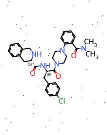 CN(C)C(=O)c1ccccc1N1CCN(C(=O)[C@@H](Cc2ccc(Cl)cc2)NC(=O)[C@@H]2Cc3ccccc3CN2)CC1